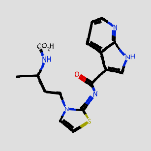 CC(CCn1ccsc1=NC(=O)c1c[nH]c2ncccc12)NC(=O)O